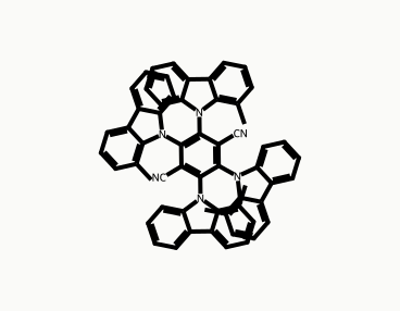 Cc1cccc2c3ccccc3n(-c3c(C#N)c(-n4c5ccccc5c5cccc(C)c54)c(-n4c5ccccc5c5cccc(C)c54)c(C#N)c3-n3c4ccccc4c4cccc(C)c43)c12